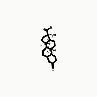 CCC(=O)[C@@]1(O)CC[C@H]2[C@@H]3CCC4CC(=O)CC[C@]4(C)[C@H]3CC[C@@]21C